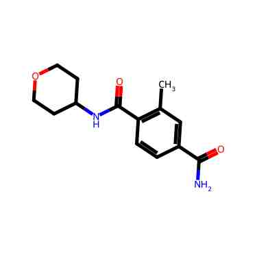 Cc1cc(C(N)=O)ccc1C(=O)NC1CCOCC1